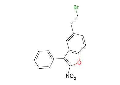 O=[N+]([O-])c1oc2ccc(CCBr)cc2c1-c1ccccc1